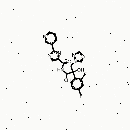 CC(NC(=O)c1csc(-c2cccnc2)n1)C(O)(Cn1cncn1)c1ccc(F)cc1F